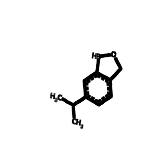 CC(C)c1ccc2c(c1)BOC2